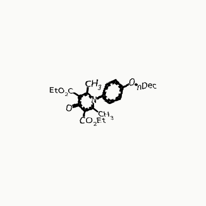 CCCCCCCCCCOc1ccc(-n2c(C)c(C(=O)OCC)c(=O)c(C(=O)OCC)c2C)cc1